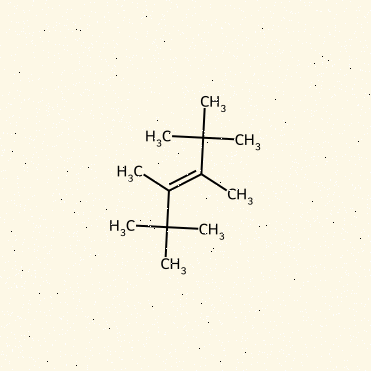 CC(=C(C)C(C)(C)C)C(C)(C)C